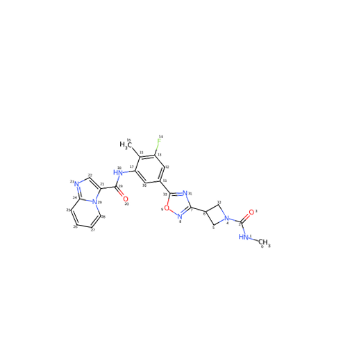 CNC(=O)N1CC(c2noc(-c3cc(F)c(C)c(NC(=O)c4cnc5ccccn45)c3)n2)C1